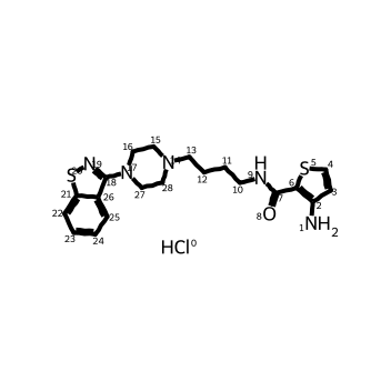 Cl.Nc1ccsc1C(=O)NCCCCN1CCN(c2nsc3ccccc23)CC1